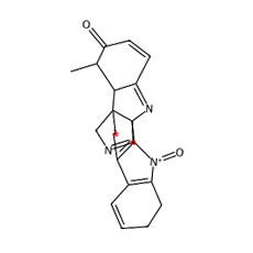 CC1C(=O)C=CC2=NC34C=NCC3(C=CC3=C4[N+](=O)C4=C3C=CCC4)C21